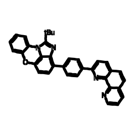 CC(C)(C)c1nc2c(-c3ccc(-c4ccc5ccc6cccnc6c5n4)cc3)ccc3c2n1-c1ccccc1O3